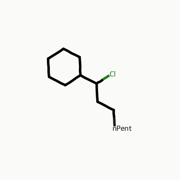 CCCCCCCC(Cl)C1CCCCC1